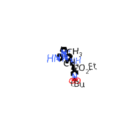 CCOC(=O)C1(CCCNc2ccc([N+]3([C@@H]4CCNC4)CCC[C@@H]3C)nc2C)CCN(C(=O)OC(C)(C)C)CC1